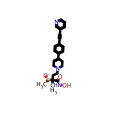 C[S+]([O-])C(C)(CCN1CC=C(c2ccc(C#Cc3cccnc3)cc2)CC1)C(=O)NO